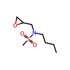 CCCCN(CC1CO1)S(C)(=O)=O